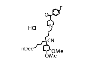 CCCCCCCCCCCCCCC(C#N)(CCCCN1CCC(C(=O)c2ccc(F)cc2)CC1)c1ccc(OC)c(OC)c1.Cl